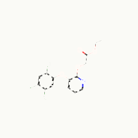 CCOC(=O)COc1ncccc1Oc1cc(Br)c(Cl)cc1Cl